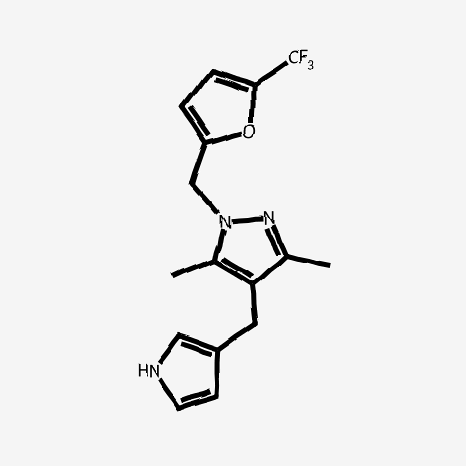 Cc1nn(Cc2ccc(C(F)(F)F)o2)c(C)c1Cc1cc[nH]c1